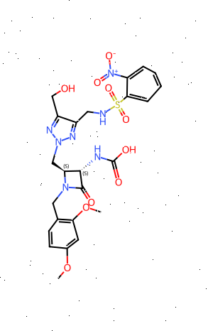 COc1ccc(CN2C(=O)[C@@H](NC(=O)O)[C@@H]2Cn2nc(CO)c(CNS(=O)(=O)c3ccccc3[N+](=O)[O-])n2)c(OC)c1